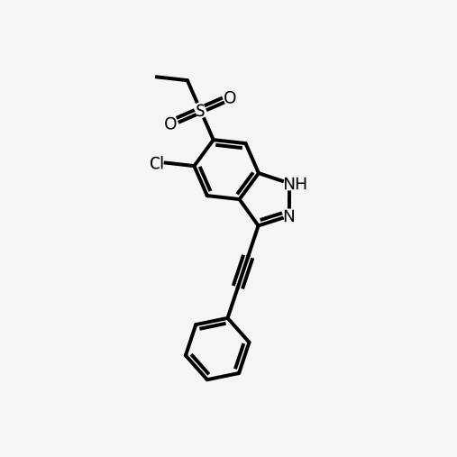 CCS(=O)(=O)c1cc2[nH]nc(C#Cc3ccccc3)c2cc1Cl